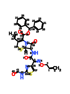 C=CCON=C(C(=O)NC1C(=O)N2C(C(=O)OC(c3ccccc3)c3ccccc3)=C(C=C)CS[C@@H]12)c1csc(NC=O)n1